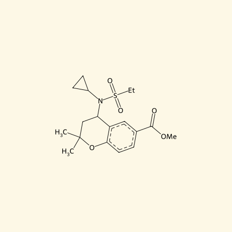 CCS(=O)(=O)N(C1CC1)C1CC(C)(C)Oc2ccc(C(=O)OC)cc21